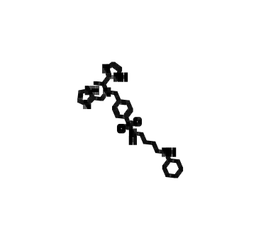 CC(c1ncc[nH]1)N(Cc1ccc(S(=O)(=O)NCCCCNC2CCCCC2)cc1)Cc1ncc[nH]1